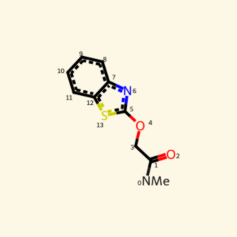 CNC(=O)COc1nc2ccccc2s1